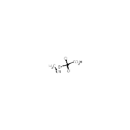 CC#N.O=C(O)C(Cl)(Cl)Cl